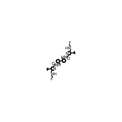 Cc1c(NC(=O)c2cc(C3CC3)c(CNCCF)cn2)cccc1-c1cccc(NC(=O)c2cc(C3CC3)c(CNCCF)cn2)c1C